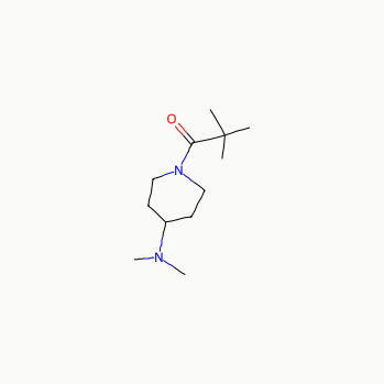 CN(C)C1CCN(C(=O)C(C)(C)C)CC1